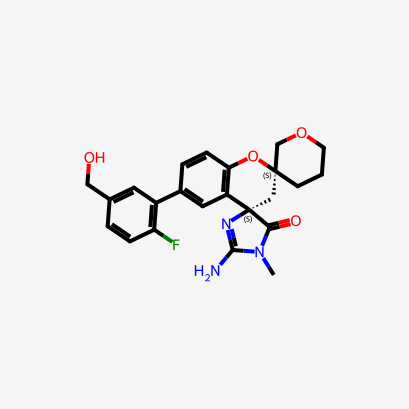 CN1C(=O)[C@@]2(C[C@]3(CCCOC3)Oc3ccc(-c4cc(CO)ccc4F)cc32)N=C1N